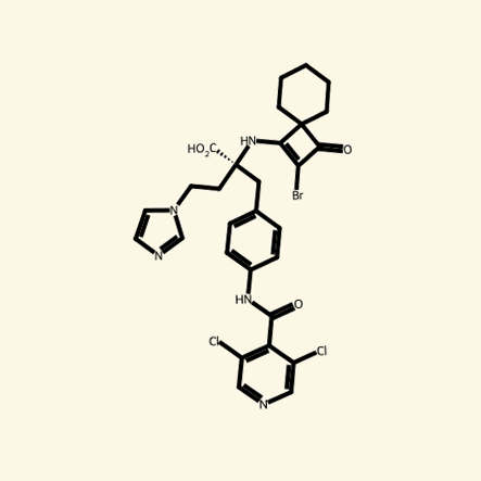 O=C(Nc1ccc(C[C@@](CCn2ccnc2)(NC2=C(Br)C(=O)C23CCCCC3)C(=O)O)cc1)c1c(Cl)cncc1Cl